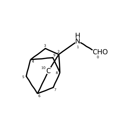 O=CNC12CC3CC(CC1C3)C2